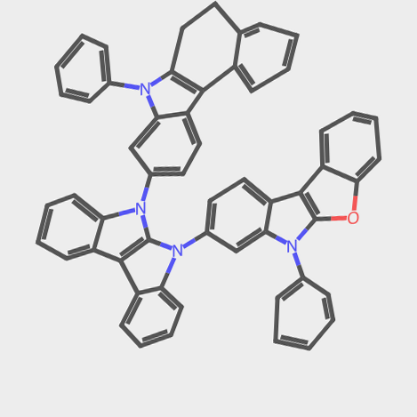 c1ccc(-n2c3c(c4ccc(-n5c6ccccc6c6c7ccccc7n(-c7ccc8c9c%10ccccc%10oc9n(-c9ccccc9)c8c7)c65)cc42)-c2ccccc2CC3)cc1